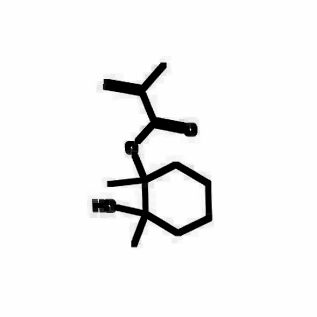 C=C(C)C(=O)OC1(C)CCCCC1(C)O